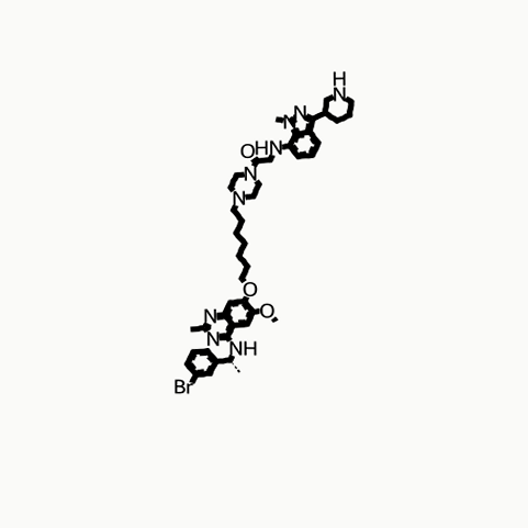 COc1cc2c(N[C@H](C)c3cccc(Br)c3)nc(C)nc2cc1OCCCCCCCN1CCN(C(=O)CNc2cccc3c(C4CCCNC4)nn(C)c23)CC1